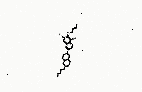 C/C=C/COc1c(F)cc2cc(C3CCC4CC(CCCCC)CCC4C3)ccc2c1F